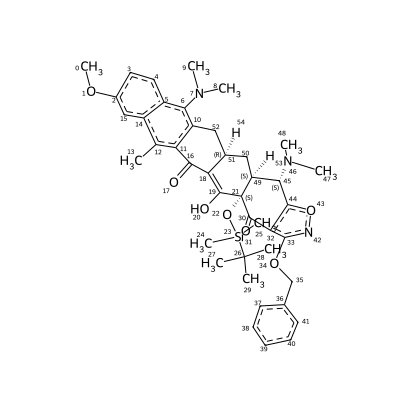 COc1ccc2c(N(C)C)c3c(c(C)c2c1)C(=O)C1=C(O)[C@]2(O[Si](C)(C)C(C)(C)C)C(=O)c4c(OCc5ccccc5)noc4[C@@H](N(C)C)[C@@H]2C[C@@H]1C3